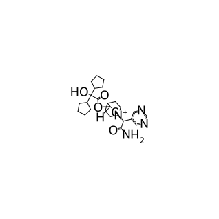 NC(=O)C(c1cncnc1)[N+]12CCC(CC1)[C@@H](OC(=O)C(O)(C1CCCC1)C1CCCC1)C2